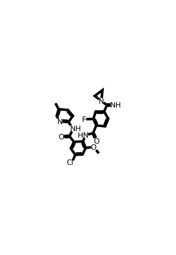 COc1cc(Cl)cc(C(=O)Nc2ccc(C)cn2)c1NC(=O)c1ccc(C(=N)N2CC2)cc1F